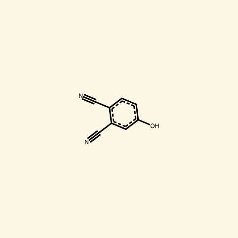 N#Cc1ccc(O)cc1C#N